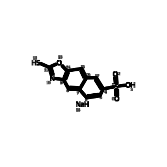 O=S(=O)(O)c1ccc2cc3nc(S)oc3cc2c1.[NaH]